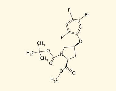 COC(=O)[C@@H]1C[C@H](Oc2cc(Br)c(F)cc2F)CN1C(=O)OC(C)(C)C